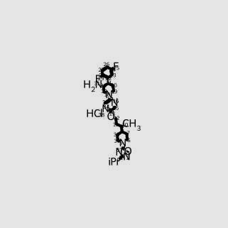 CC(C)c1noc(N2CCC([C@H](C)CCOc3cnc(N4CC[C@H](c5cc(F)ccc5F)[C@@H](N)C4)cn3)CC2)n1.Cl